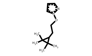 CC1(C)C(CCOn2cccn2)C1(C)C